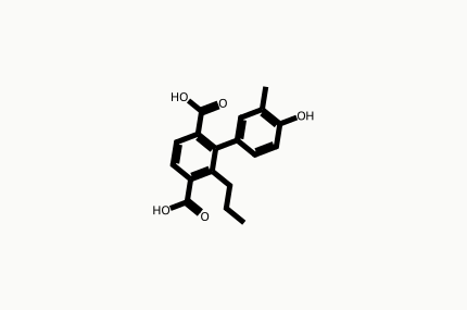 CCCc1c(C(=O)O)ccc(C(=O)O)c1-c1ccc(O)c(C)c1